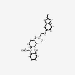 Cc1nc2cc(OC[C@H](O)CN3CCN(N(C=O)c4ccccc4Cl)CC3)ccc2s1